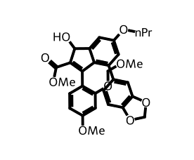 CCCOc1cc(-c2ccc3c(c2)OCO3)c2c(c1)C(O)C(C(=O)OC)=C2c1ccc(OC)cc1OCOC